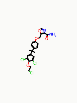 CC(C)(c1ccc(OCc2ocnc2C(N)=O)cc1)c1cc(Cl)c(OCCCl)c(Cl)c1